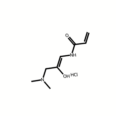 C=CC(=O)NC=C(O)CN(C)C.Cl